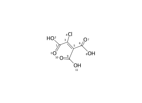 O=C(O)C(Cl)=C(C(=O)O)C(=O)O